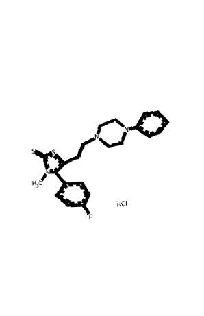 Cl.Cn1c(-c2ccc(F)cc2)c(CCN2CCN(c3ccccc3)CC2)sc1=S